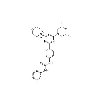 C[C@@H]1CN(c2cc(N3C4CCC3COC4)nc(-c3ccc(NC(=O)Nc4ccncc4)cc3)n2)C[C@H](C)O1